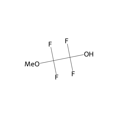 COC(F)(F)C(O)(F)F